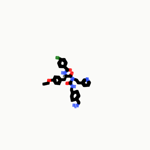 CCOc1ccc(C[C@@H](NC(=O)c2ccc(Cl)cc2)C(=O)N(CCc2cccnc2)C(=O)NCc2ccc(CN)cc2)cc1